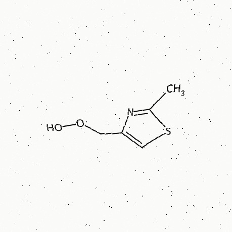 Cc1nc(COO)cs1